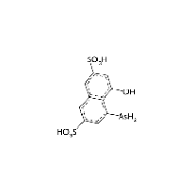 O=S(=O)(O)c1cc(O)c2c([AsH2])cc(S(=O)(=O)O)cc2c1